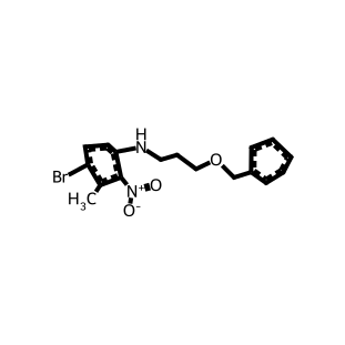 Cc1c(Br)ccc(NCCCOCc2ccccc2)c1[N+](=O)[O-]